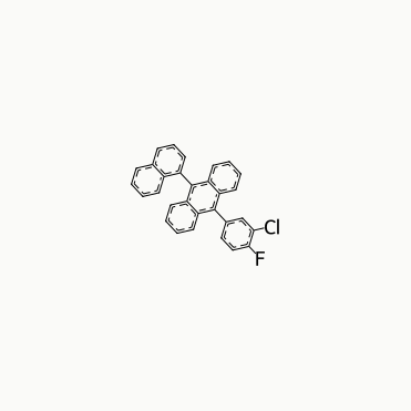 Fc1ccc(-c2c3ccccc3c(-c3cccc4ccccc34)c3ccccc23)cc1Cl